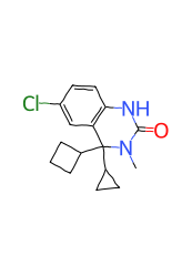 CN1C(=O)Nc2ccc(Cl)cc2C1(C1CCC1)C1CC1